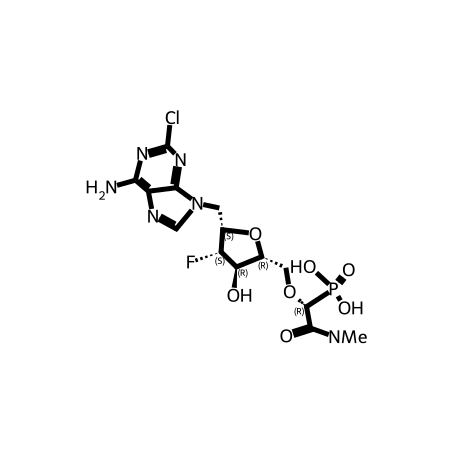 CNC(=O)[C@H](OC[C@H]1O[C@@H](Cn2cnc3c(N)nc(Cl)nc32)[C@@H](F)[C@@H]1O)P(=O)(O)O